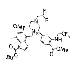 COC(=O)c1ccc([C@@H]2CN(CC(F)F)CCN2Cc2c(OC)cc(C)c3c2ccn3C(=O)OC(C)(C)C)cc1NCC(F)(F)F